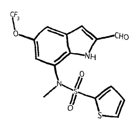 CN(c1cc(OC(F)(F)F)cc2cc(C=O)[nH]c12)S(=O)(=O)c1cccs1